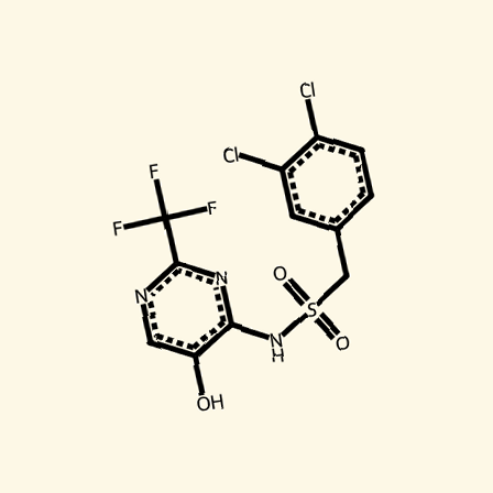 O=S(=O)(Cc1ccc(Cl)c(Cl)c1)Nc1nc(C(F)(F)F)ncc1O